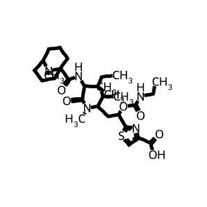 CCNC(=O)OC(CC(C(C)C)N(C)C(=O)C(NC(=O)C12CCCC(CCC1)N2C)C(C)CC)c1nc(C(=O)O)cs1